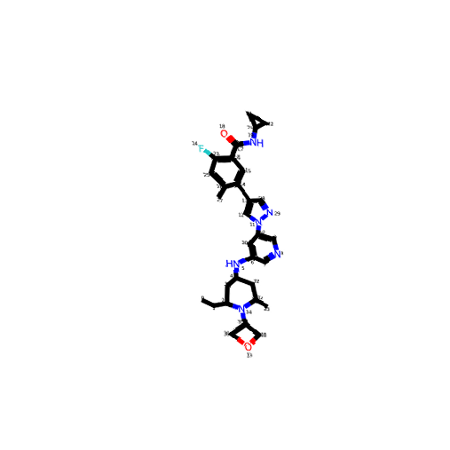 CCC1CC(Nc2cncc(-n3cc(-c4cc(C(=O)NC5CC5)c(F)cc4C)cn3)c2)CC(C)N1C1COC1